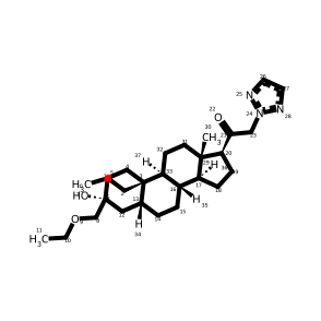 CCC[C@]12CC[C@](O)(COCC)C[C@H]1CC[C@H]1[C@@H]3CC[C@H](C(=O)Cn4nccn4)[C@@]3(C)CC[C@@H]12